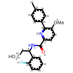 COc1ccc(C(=O)NC(CC(=O)O)c2ccccc2F)nc1-c1ccc(C)cc1